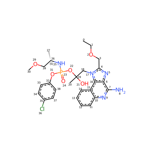 CCOCc1nc2c(N)nc3ccccc3c2n1CC(C)(O)OP(=O)(N[C@@H](C)COC)Oc1ccc(Cl)cc1